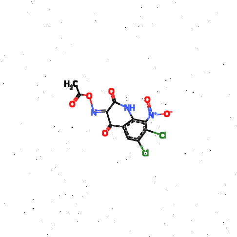 CC(=O)ON=C1C(=O)Nc2c(cc(Cl)c(Cl)c2[N+](=O)[O-])C1=O